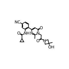 Cc1nc(-c2ccc(C#N)cc2NC(=O)C2CC2)cc(=O)n1CC(=O)N1CC(C)(O)C1